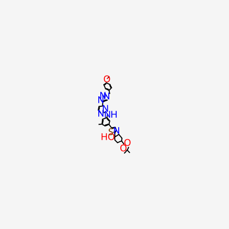 COc1ccc(Cn2cc(-c3ccnc(Nc4cc(C)cc(-c5cnc(C6(O)CCC(C(=O)OC(C)(C)C)CC6)s5)c4)n3)nn2)cc1